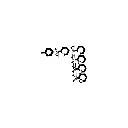 C[SiH](C)C1CCCCO1.C[SiH](C)C1CCCCO1.C[SiH](C)C1CCCCO1.C[SiH](C)C1CCCCO1.C[SiH](C)C1CCCCO1.Cc1cc[c]cc1